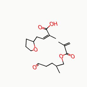 C=C(C)C(=O)OCC(C)CCC=O.CC(=CCC1CCCO1)C(=O)O